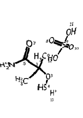 CC(C)(OS)C(N)=O.O=S(=O)(O)O.[H+]